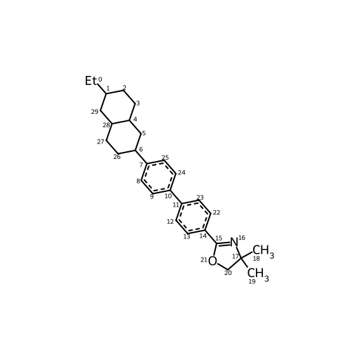 CCC1CCC2CC(c3ccc(-c4ccc(C5=NC(C)(C)CO5)cc4)cc3)CCC2C1